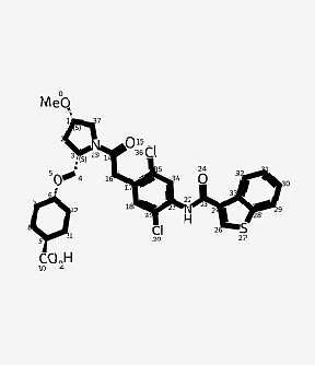 CO[C@H]1C[C@@H](CO[C@H]2CC[C@H](C(=O)O)CC2)N(C(=O)Cc2cc(Cl)c(NC(=O)c3csc4ccccc34)cc2Cl)C1